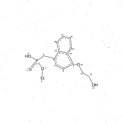 CCOP(=O)(O)Cc1ccc(OCCO)c2ccccc12